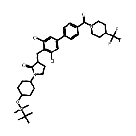 CC(C)(C)[Si](C)(C)OC1CCC(N2CCC(Cc3c(Cl)cc(-c4ccc(C(=O)N5CCC(C(F)(F)F)CC5)cc4)cc3Cl)C2=O)CC1